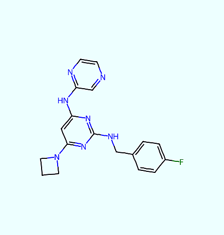 Fc1ccc(CNc2nc(Nc3cnccn3)cc(N3CCC3)n2)cc1